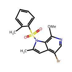 COc1ncc(Br)c2cc(C)n(S(=O)(=O)c3ccccc3C)c12